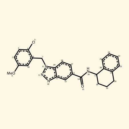 COc1ccc(Cl)c(Cn2nnc3cc(C(=O)NC4CCCc5ccccc54)ccc32)c1